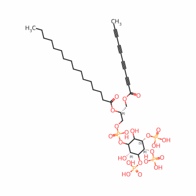 CC#CC#CC#CC#CC(=O)OC[C@H](COP(=O)(O)OC1C(O)[C@H](OP(=O)(O)O)[C@H](OP(=O)(O)O)C(OP(=O)(O)O)[C@@H]1O)OC(=O)CCCCCCCCCCCCCCC